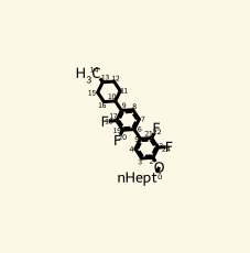 CCCCCCCOc1ccc(-c2ccc(C3CCC(C)CC3)c(F)c2F)c(F)c1F